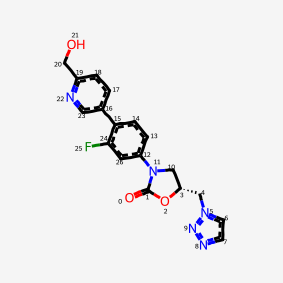 O=C1O[C@@H](Cn2ccnn2)CN1c1ccc(-c2ccc(CO)nc2)c(F)c1